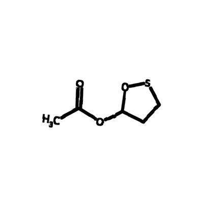 CC(=O)OC1CCSO1